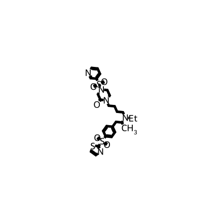 CCN(CCCCN1CCN(S(=O)(=O)c2cccnc2)CC1=O)C(C)Cc1ccc(S(=O)(=O)c2nccs2)cc1